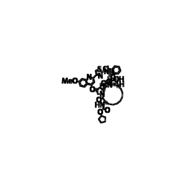 COc1ccc2c(O[C@@H]3C[C@H]4C(=O)N[C@]5(P(=O)(O)Cc6ccccc6Cl)C[C@H]5CCCCCCC[C@H](NC(=O)OC5CCCC5)C(=O)N4C3)cc(-c3csc(NC(C)C)n3)nc2c1